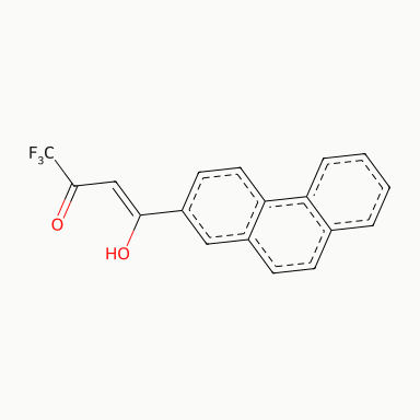 O=C(C=C(O)c1ccc2c(ccc3ccccc32)c1)C(F)(F)F